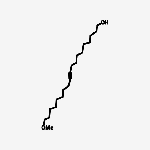 COCCCCCCCCC#CCCCCCCCCCO